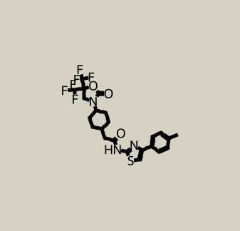 Cc1ccc(-c2csc(NC(=O)CC3CCC(N4CC(C(F)(F)F)(C(F)(F)F)OC4=O)CC3)n2)cc1